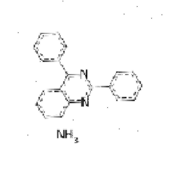 N.c1ccc(-c2nc(-c3ccccc3)c3ccccc3n2)cc1